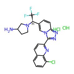 Cl.Cl.NC1CCN([C@H](c2ccc3nnc(-c4ccc5cccc(Cl)c5n4)n3c2)C(F)(F)F)C1